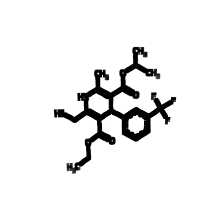 CCOC(=O)C1=C(CS)NC(C)=C(C(=O)OC(C)C)C1c1cccc(C(F)(F)F)c1